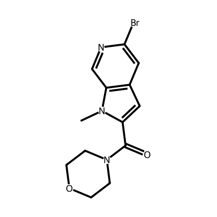 Cn1c(C(=O)N2CCOCC2)cc2cc(Br)ncc21